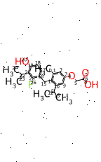 Cc1cc(OCC(=O)O)cc(C(C)C)c1Cc1ccc(O)c(C(C)C)c1F